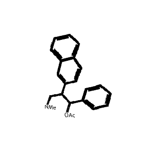 CNCC(c1ccc2ccccc2c1)C(OC(C)=O)c1ccccc1